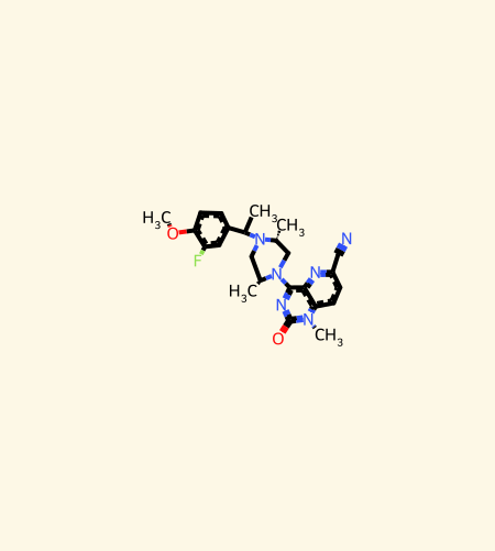 COc1ccc(C(C)N2C[C@H](C)N(c3nc(=O)n(C)c4ccc(C#N)nc34)C[C@H]2C)cc1F